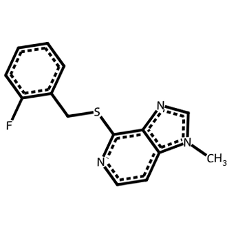 Cn1cnc2c(SCc3ccccc3F)nccc21